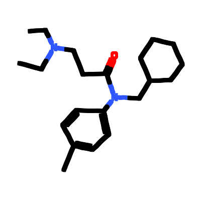 CCN(CC)CCC(=O)N(CC1CCCCC1)c1ccc(C)cc1